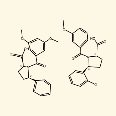 COc1cc(OC)cc(C(=O)N2[C@@H](c3ccccc3)CC[C@H]2C(=O)O)c1.COc1cccc(C(=O)N2[C@H](C(=O)O)CC[C@H]2c2ccccc2Cl)c1